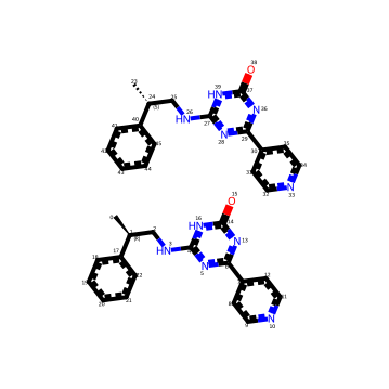 C[C@@H](CNc1nc(-c2ccncc2)nc(=O)[nH]1)c1ccccc1.C[C@H](CNc1nc(-c2ccncc2)nc(=O)[nH]1)c1ccccc1